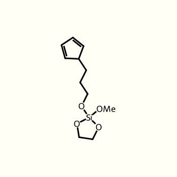 CO[Si]1(OCCCC2C=CC=C2)OCCO1